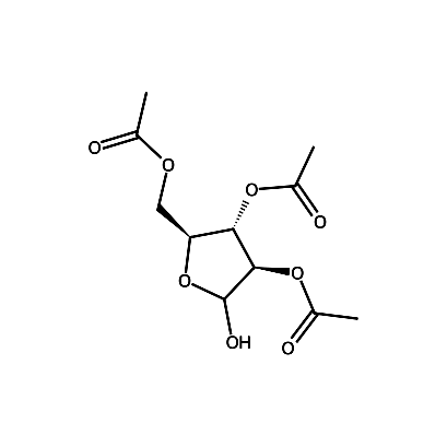 CC(=O)OC[C@@H]1OC(O)[C@H](OC(C)=O)[C@H]1OC(C)=O